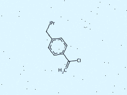 C=C(Cl)c1ccc(CC(C)C)cc1